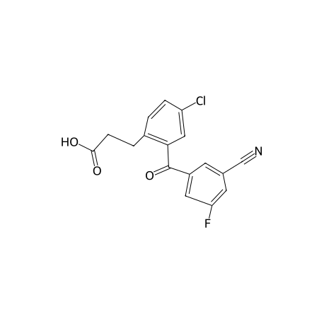 N#Cc1cc(F)cc(C(=O)c2cc(Cl)ccc2CCC(=O)O)c1